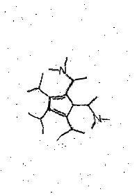 CC(C)C1=C(C(C)C)C(C(C)N(C)C)C(C(C)N(C)C)=C1C(C)C